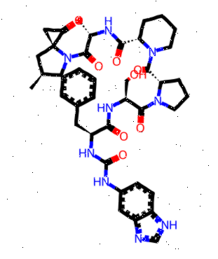 C[C@@H]1CN(C(=O)[C@H](C)NC(=O)[C@@H]2CCCCN2C(=O)[C@@H]2CCCN2C(=O)[C@H](CO)NC(=O)[C@H](Cc2ccccc2)NC(=O)Nc2ccc3[nH]cnc3c2)[C@]2(CC2=O)C1